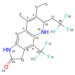 CCC1=C(C)c2cc3c(c(C(F)(F)F)c2NC1CC(F)(F)F)CC(=O)N3